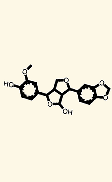 COc1cc(C2OC(O)C3C(c4ccc5c(c4)OCO5)OCC23)ccc1O